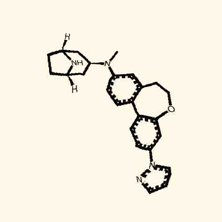 CN(c1ccc2c(c1)CCOc1cc(-n3cccn3)ccc1-2)[C@@H]1C[C@H]2CC[C@@H](C1)N2